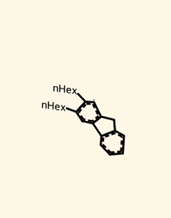 CCCCCCc1[c]c2c(cc1CCCCCC)-c1ccccc1C2